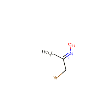 O=C(O)/C(CBr)=N\O